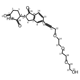 O=C1CCC(N2Cc3cc(C#CCOCCOCCOCCO)ccc3C2=O)C(=O)N1